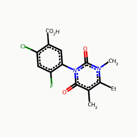 CCc1c(C)c(=O)n(-c2cc(C(=O)O)c(Cl)cc2F)c(=O)n1C